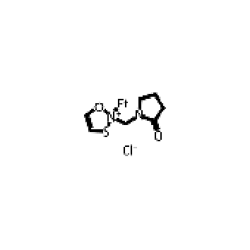 CC[N+]1(CN2CCCC2=O)OC=CS1.[Cl-]